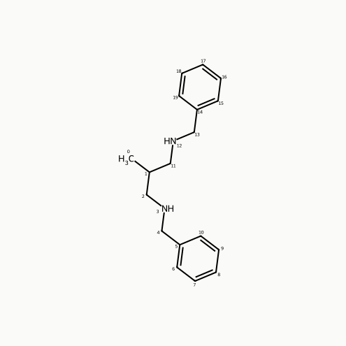 CC(CNCc1ccccc1)CNCc1ccccc1